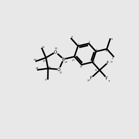 Cc1cc(C(C)C)c(C(F)(F)F)cc1B1OC(C)(C)C(C)(C)O1